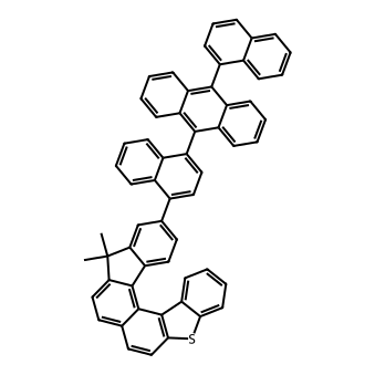 CC1(C)c2cc(-c3ccc(-c4c5ccccc5c(-c5cccc6ccccc56)c5ccccc45)c4ccccc34)ccc2-c2c1ccc1ccc3sc4ccccc4c3c21